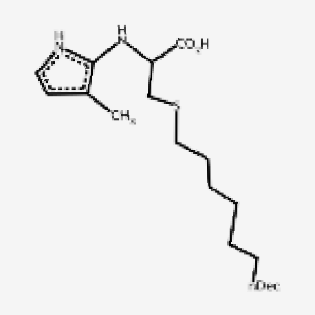 CCCCCCCCCCCCCCCCSCC(Nc1[nH]ccc1C)C(=O)O